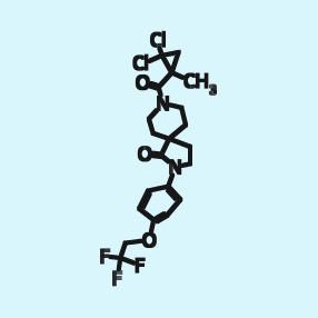 CC1(C(=O)N2CCC3(CC2)CCN(c2ccc(OCC(F)(F)F)cc2)C3=O)CC1(Cl)Cl